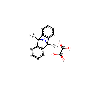 CC12NC(C)(c3ccccc31)c1ccccc12.O=C(O)C(=O)O